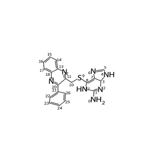 NC1=NC2NC=NC2=C(SCc2nc3ccccc3nc2-c2ccccc2)N1